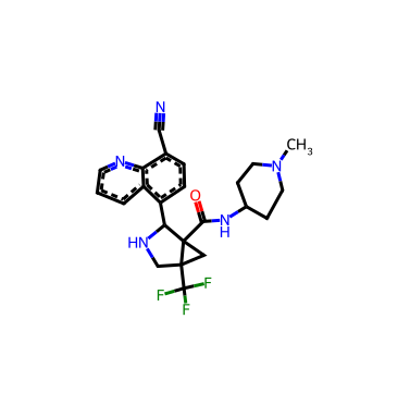 CN1CCC(NC(=O)C23CC2(C(F)(F)F)CNC3c2ccc(C#N)c3ncccc23)CC1